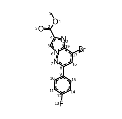 COC(=O)c1cn2nc(-c3ccc(F)cc3)cc(Br)c2n1